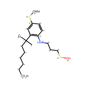 CCC(C)(CCCCCC(=O)O)c1cc(SOC)ccc1NCCCSO